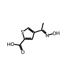 C/C(=N\O)c1csc(C(=O)O)c1